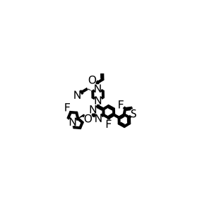 C=CC(=O)N1CCN(c2nc(OC[C@@]34CCCN3C[C@H](F)C4)nc3c(F)c(-c4cccc5scc(F)c45)ccc23)C[C@@H]1CC#N